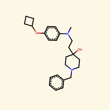 CN(CCC1(O)CCN(Cc2ccccc2)CC1)c1ccc(OC2CCC2)cc1